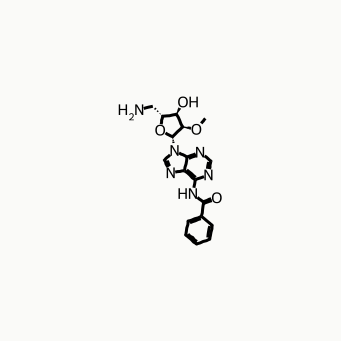 CO[C@@H]1[C@H](O)[C@@H](CN)O[C@H]1n1cnc2c(NC(=O)c3ccccc3)ncnc21